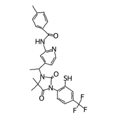 Cc1ccc(C(=O)Nc2cc(C(C)N3C(=O)N(c4ccc(C(F)(F)F)cc4S)C(=O)C3(C)C)ccn2)cc1